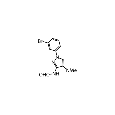 CNc1cn(-c2cccc(Br)c2)nc1NC=O